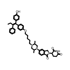 CCC(=C(c1ccc(O)cc1)c1ccc(OCCCCCN2CC(C)N(c3ccc4c(c3)CN(C3CCC(=O)NC3=O)C4=O)CC2C)cc1)c1ccccc1